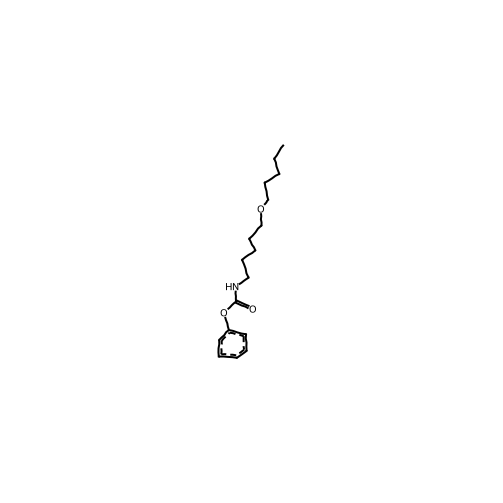 CCCCCOCCCCCNC(=O)Oc1ccccc1